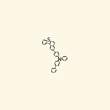 c1ccc(-c2ccc(N(c3ccccc3)c3ccc(-c4ccc5c(ccc6sc7ccccc7c65)c4)cc3)cc2)cc1